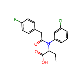 CCC(C(=O)O)N(C(=O)Cc1ccc(F)cc1)c1cccc(Cl)c1